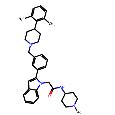 CC(=O)N1CCC(NC(=O)Cn2c(-c3cccc(CN4CCC(c5c(C)cccc5C)CC4)c3)cc3ccccc32)CC1